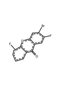 O=c1c2cc(F)c(Br)cc2oc2c(F)cccc12